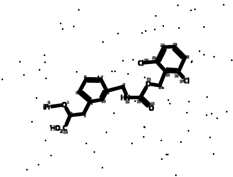 CC(C)OC(Cc1cccc(CNC(=O)OCc2c(Cl)cccc2Cl)c1)C(=O)O